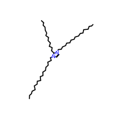 CCCCCCCCCCCCCCCCCCN1C=CN(CCCCCCCCCCCCCCCCC)C1CCCCCCCCCCCCC